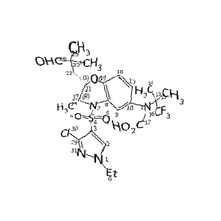 CCn1cc(S(=O)(=O)N2c3cc(N(C(=O)O)C(C)(C)C(F)(F)F)ccc3O[C@@H](CC(C)(C)C=O)[C@H]2C)c(Cl)n1